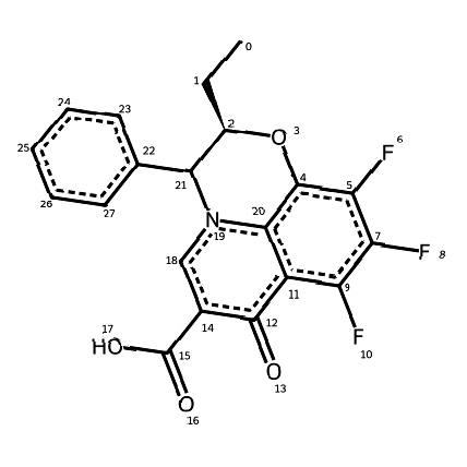 CC[C@H]1Oc2c(F)c(F)c(F)c3c(=O)c(C(=O)O)cn(c23)C1c1ccccc1